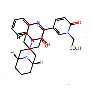 O=C(O)Cn1cc(-c2nc3ccccc3n([C@H]3C[C@H]4CCC[C@@H](C3)N4[C@H]3C[C@@H]4CCC[C@@H](C4)C3)c2=O)ccc1=O